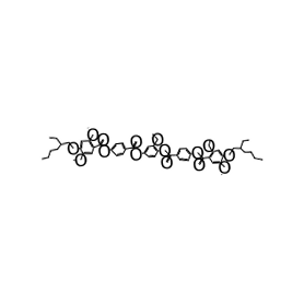 CCCCC(CC)COc1cc(OC)c(C(=O)Oc2ccc(C(=O)Oc3ccc(OC(=O)c4ccc(OC(=O)c5cc(OC)c(OCC(CC)CCCC)cc5OC)cc4)c(OC)c3)cc2)cc1OC